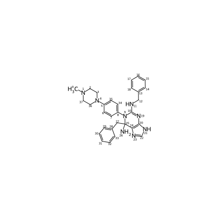 CN1CCN(c2ccc(N3C(NCc4ccccc4)=Nc4[nH]cnc4C3(N)Cc3ccccc3)cc2)CC1